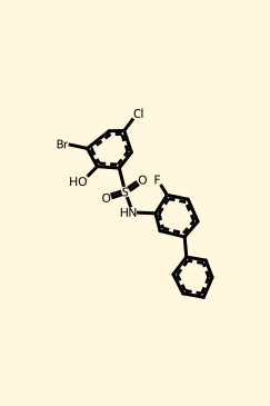 O=S(=O)(Nc1cc(-c2ccccc2)ccc1F)c1cc(Cl)cc(Br)c1O